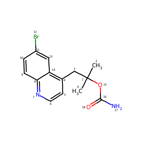 CC(C)(Cc1ccnc2ccc(Br)cc12)OC(N)=O